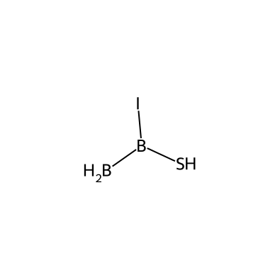 BB(S)I